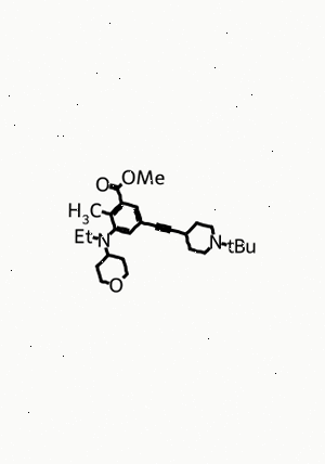 CCN(c1cc(C#CC2CCN(C(C)(C)C)CC2)cc(C(=O)OC)c1C)C1CCOCC1